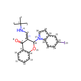 CC(C)(C)N/C=C1\C(=O)c2ccccc2OC1n1ccc2cc(I)ccc21